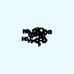 CC(C(=O)O)c1ccc(-c2ccccc2)c(F)c1.C[C@]12CCC(=O)C=C1CC[C@@H]1[C@@H]2[C@@H](O)C[C@@]2(C)[C@H]1CC[C@]2(O)C(=O)CO